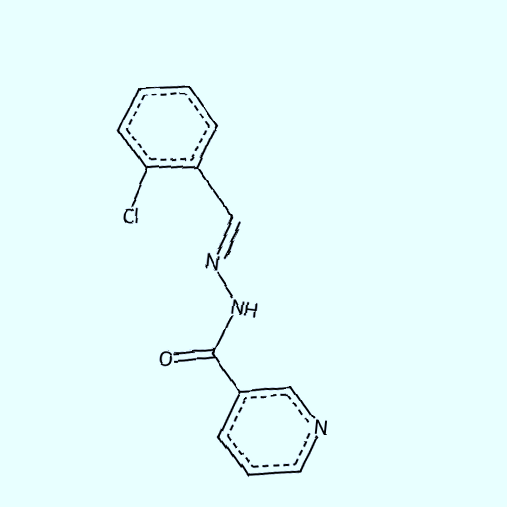 O=C(N/N=C/c1ccccc1Cl)c1cccnc1